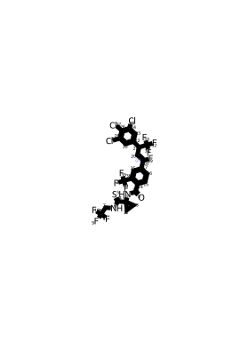 O=C(NC1(C(=S)NCC(F)(F)F)CC1)c1ccc(/C(F)=C/C(c2cc(Cl)c(Cl)c(Cl)c2)C(F)(F)F)cc1C(F)(F)F